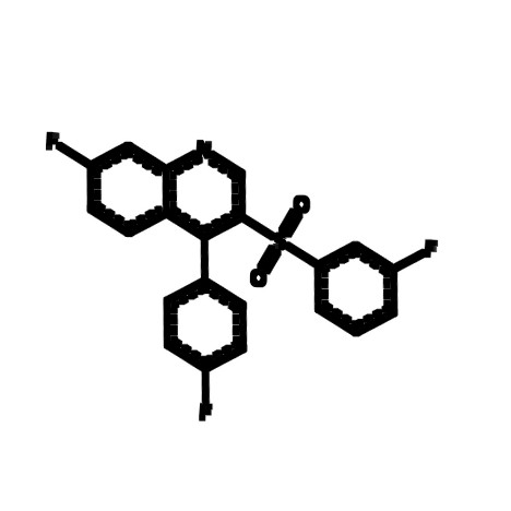 O=S(=O)(c1cccc(F)c1)c1cnc2cc(F)ccc2c1-c1ccc(F)cc1